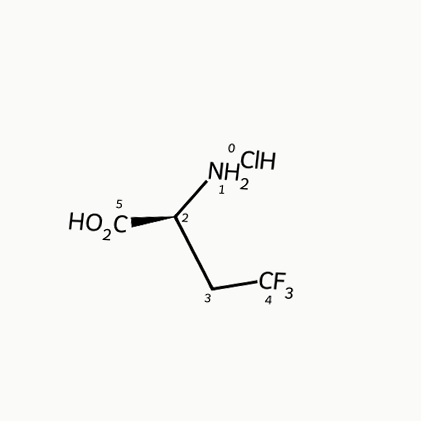 Cl.N[C@@H](CC(F)(F)F)C(=O)O